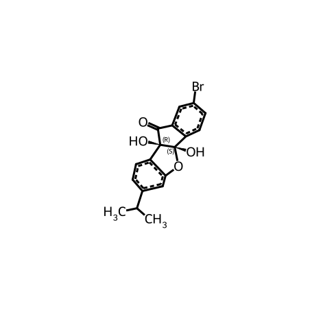 CC(C)c1ccc2c(c1)O[C@@]1(O)c3ccc(Br)cc3C(=O)[C@@]21O